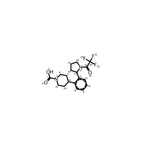 O=C(O)N1CCC(c2ccccc2C2CCCN2C(=O)C(F)(F)F)CC1